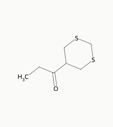 CCC(=O)C1CSCSC1